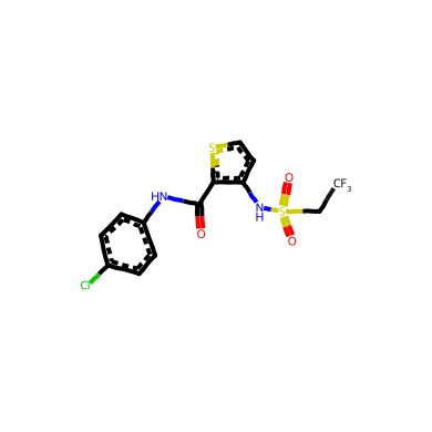 O=C(Nc1ccc(Cl)cc1)c1sccc1NS(=O)(=O)CC(F)(F)F